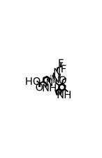 COc1cc(C)c2[nH]ccc2c1CN1CCN(CC(F)F)C[C@H]1c1ccc(C(=O)O)c(N)n1